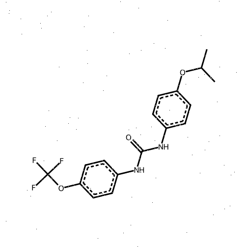 CC(C)Oc1ccc(NC(=O)Nc2ccc(OC(F)(F)F)cc2)cc1